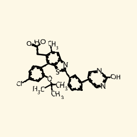 Cc1cc2nc(-c3cccc(-c4cnc(O)nc4)c3)sc2c(-c2ccc(Cl)cc2OC(C)(C)C)c1CC(=O)O